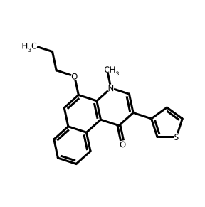 CCCOc1cc2ccccc2c2c(=O)c(-c3ccsc3)cn(C)c12